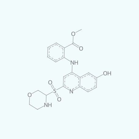 COC(=O)c1ccccc1Nc1cc(S(=O)(=O)C2COCCN2)nc2ccc(O)cc12